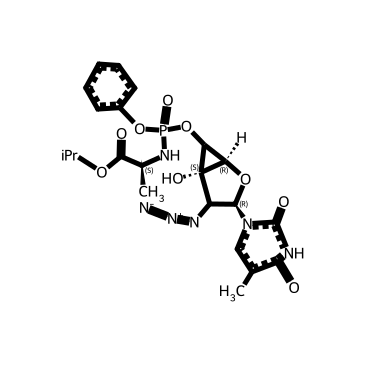 Cc1cn([C@@H]2O[C@@H]3C(OP(=O)(N[C@@H](C)C(=O)OC(C)C)Oc4ccccc4)[C@]3(O)C2N=[N+]=[N-])c(=O)[nH]c1=O